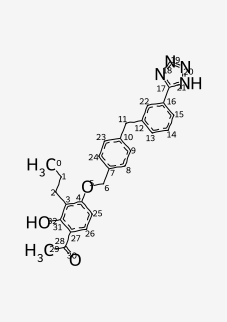 CCCc1c(OCc2ccc(Cc3cccc(-c4nnn[nH]4)c3)cc2)ccc(C(C)=O)c1O